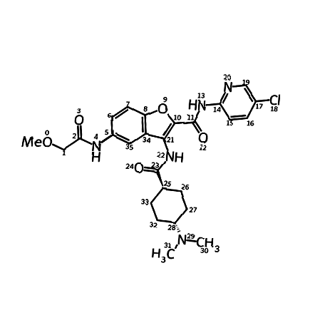 COCC(=O)Nc1ccc2oc(C(=O)Nc3ccc(Cl)cn3)c(NC(=O)[C@H]3CC[C@H](N(C)C)CC3)c2c1